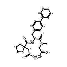 CN(CC(=O)O)C(=O)C(Cc1ccc(-c2ccccc2)cc1)NC(=O)C1(CC(=O)O)CCCC1